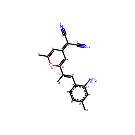 CC1=CC(=C(C#N)C#N)C=C(C(C)=Cc2ccc(C)cc2N)O1